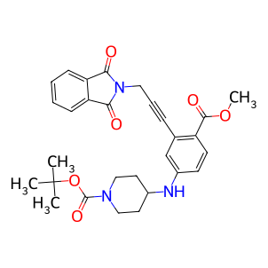 COC(=O)c1ccc(NC2CCN(C(=O)OC(C)(C)C)CC2)cc1C#CCN1C(=O)c2ccccc2C1=O